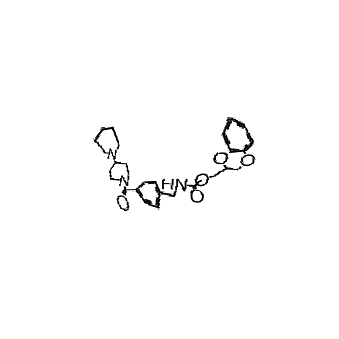 O=C(NCc1ccc(C(=O)N2CCC(N3CCCCC3)CC2)cc1)OCC1COc2ccccc2O1